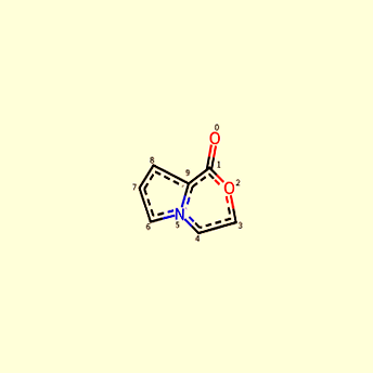 O=c1occn2cccc12